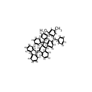 Cc1cc(C)cc(N(c2ccccc2)c2ccc3c(c2)C(c2ccccc2)(c2ccccc2)c2cc(-n4c5ccccc5c5ccccc54)c4ccccc4c2-3)c1